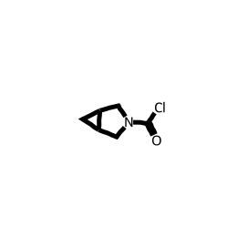 O=C(Cl)N1CC2CC2C1